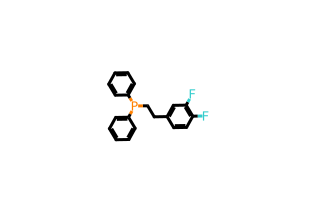 Fc1ccc(CCP(c2ccccc2)c2ccccc2)cc1F